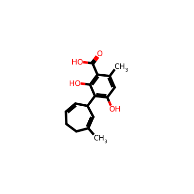 CC1=CC(c2c(O)cc(C)c(C(=O)O)c2O)C=CCC1